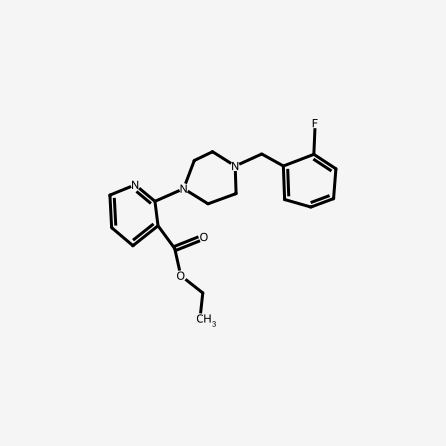 CCOC(=O)c1cccnc1N1CCN(Cc2ccccc2F)CC1